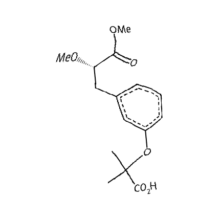 COC(=O)[C@H](Cc1cccc(OC(C)(C)C(=O)O)c1)OC